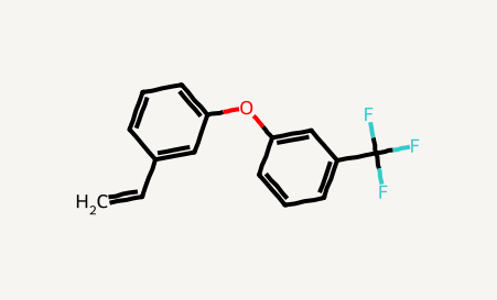 C=Cc1cccc(Oc2cccc(C(F)(F)F)c2)c1